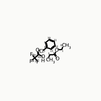 CCOC(=O)CC.Clc1ccccc1.O=C(O)C(F)(F)F